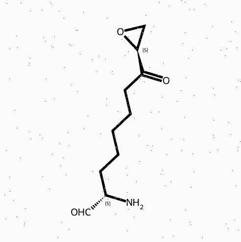 N[C@H](C=O)CCCCCC(=O)[C@@H]1CO1